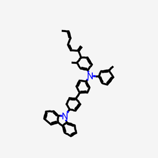 C=C(/C=C\C=C/C)C1C=CC(N(c2ccc(C3=CCC(n4c5ccccc5c5ccccc54)C=C3)cc2)c2cccc(C)c2)=CC1C